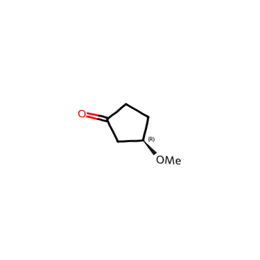 CO[C@@H]1CCC(=O)C1